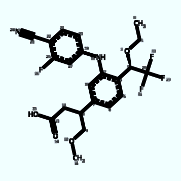 CCO[C@H](c1ccc(C(COC)CC(=O)O)cc1Nc1ccc(C#N)c(F)c1)C(F)(F)F